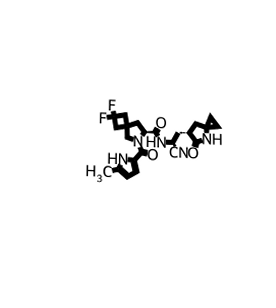 Cc1ccc(C(=O)N2CC3(C[C@H]2C(=O)N[C@H](C#N)C[C@@H]2CC4(CC4)NC2=O)CC(F)(F)C3)[nH]1